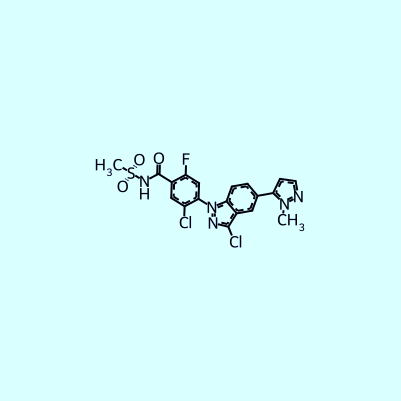 Cn1nccc1-c1ccc2c(c1)c(Cl)nn2-c1cc(F)c(C(=O)NS(C)(=O)=O)cc1Cl